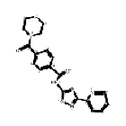 O=C(Nc1nc(-c2ccccn2)ns1)c1ccc(C(=O)N2CCOCC2)cc1